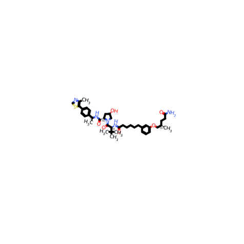 Cc1ncsc1-c1ccc([C@H](C)NC(=O)[C@@H]2C[C@@H](O)CN2C(=O)[C@@H](NC(=O)CCCCCc2cccc(OC[C@@H](C)CCC(N)=O)c2)C(C)(C)C)cc1